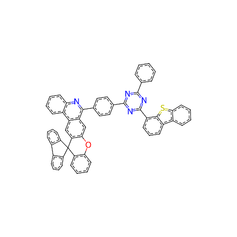 c1ccc(-c2nc(-c3ccc(-c4nc5ccccc5c5cc6c(cc45)Oc4ccccc4C64c5ccccc5-c5ccccc54)cc3)nc(-c3cccc4c3sc3ccccc34)n2)cc1